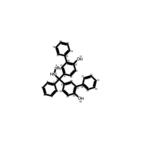 CCCCNC(c1ccccc1)(c1ccc(O)c(-c2ccccc2)c1)c1ccc(O)c(-c2ccccc2)c1